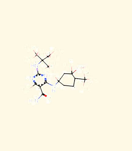 Bc1nc(NC(C(B)(B)B)(C(B)(B)B)C(B)(B)B)nc(NC2(B)CCC(C(B)(B)B)C(B)(O)C2)c1C(N)=O